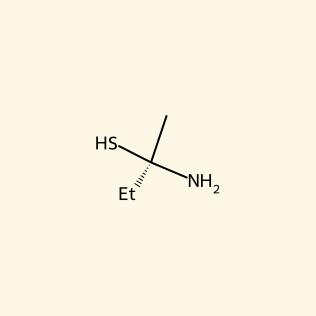 CC[C@](C)(N)S